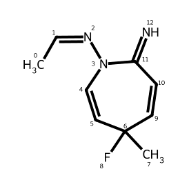 C/C=N\N1C=CC(C)(F)C=CC1=N